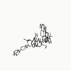 C=Cc1cnc(Nc2cc(C)c(N3CCC(N4CCN(C)CC4)CC3)cc2OC)nc1Nc1ccc2nccnc2c1S(=O)(=O)NC(C)C